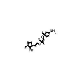 CCC(C)(CCN)OCC(C)(C)OCCN1CCN(C)C1=N